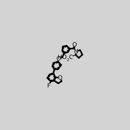 O=C(O)[C@@H]1CCCN1C(=O)c1cccc(COc2ccc(-c3ccc(F)c4c3OCC4)cc2)c1